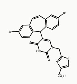 O=C(O)c1csc(Cn2cc(C3c4ccc(Br)cc4C=Cc4cc(Br)ccc43)c(=S)[nH]c2=O)n1